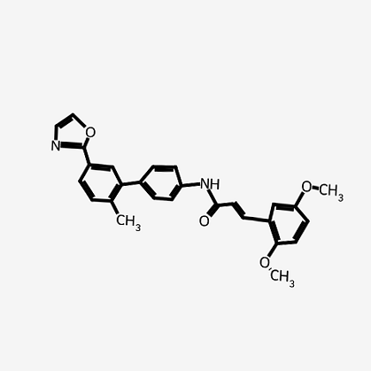 COc1ccc(OC)c(/C=C/C(=O)Nc2ccc(-c3cc(-c4ncco4)ccc3C)cc2)c1